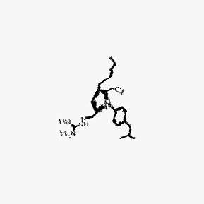 CCCCCc1cc(C=NNC(=N)N)n(-c2ccc(CC(C)C)cc2)c1Cl